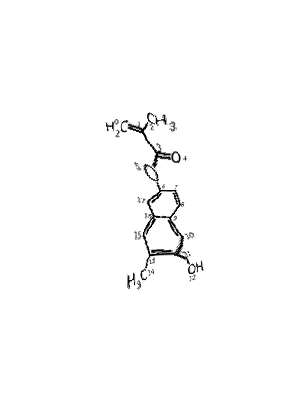 C=C(C)C(=O)Oc1ccc2cc(O)c(C)cc2c1